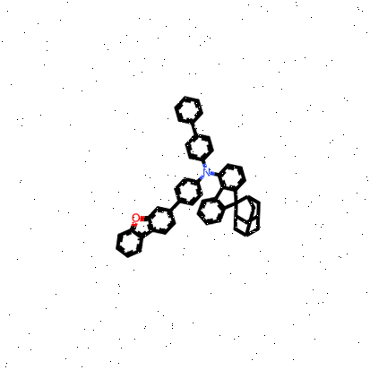 c1ccc(-c2ccc(N(c3ccc(-c4ccc5c(c4)oc4ccccc45)cc3)c3cccc4c3-c3ccccc3C43C4CC5CC(C4)CC3C5)cc2)cc1